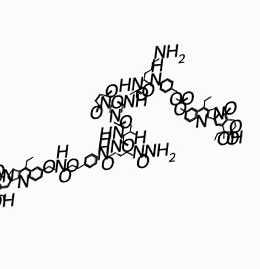 C=C1OCc2c(cc3n(c2=O)Cc2c-3nc3ccc(OCNC(=O)OCc4ccc(NC(=O)[C@H](CCCNC(N)=O)NC(=O)[C@@H](NC(=O)CN(CCN5C(=O)C=CC5=O)CC(=O)NCC(=O)N[C@@H](CCCCN)C(=O)Nc5ccc(COC(=O)Oc6ccc7nc8c(c(CC)c7c6)Cn6c-8cc7c(c6=O)COC(=O)[C@]7(O)CC)cc5)C(C)C)cc4)cc3c2CC)[C@@]1(O)CC